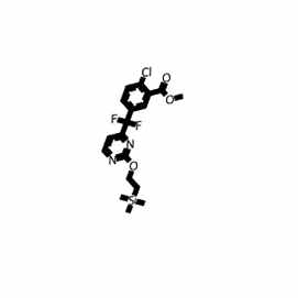 COC(=O)c1cc(C(F)(F)c2ccnc(OCC[Si](C)(C)C)n2)ccc1Cl